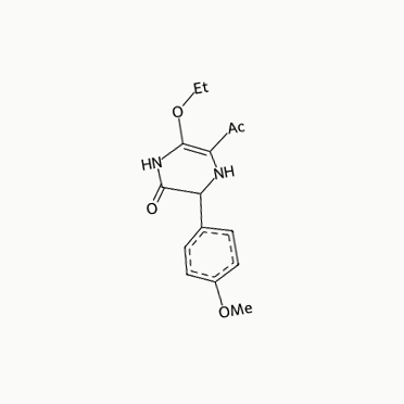 CCOC1=C(C(C)=O)NC(c2ccc(OC)cc2)C(=O)N1